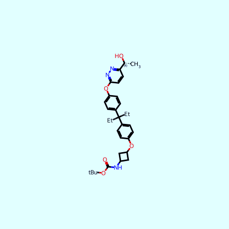 CCC(CC)(c1ccc(Oc2ccc([C@@H](C)O)nn2)cc1)c1ccc(OC2CC(NC(=O)OC(C)(C)C)C2)cc1